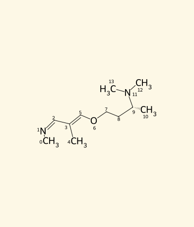 C/N=C\C(C)=C\OCC[C@@H](C)N(C)C